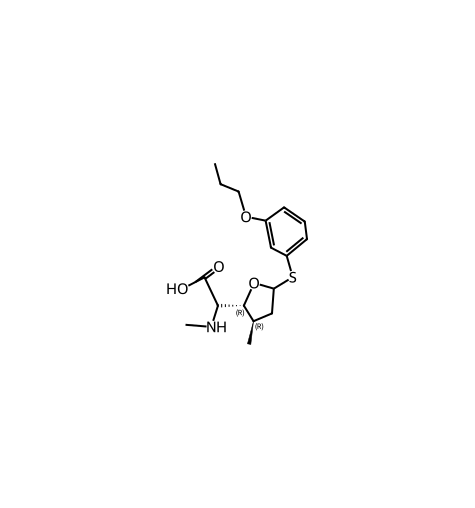 CCCOc1cccc(SC2C[C@@H](C)[C@H](C(NC)C(=O)O)O2)c1